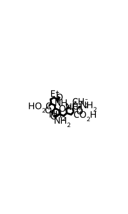 [CH2-][CH+]C(CC(CC(CC(CC(CC(C[C+]([CH2-])C(N)=O)C(=O)O)C(N)=O)C(N)=O)C(N)=O)C(=O)O)C(N)=O